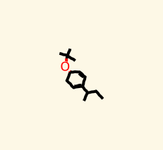 CCC(C)C1=CCC(OC(C)(C)C)C=C1